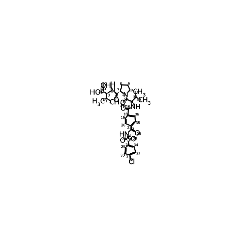 CC(C)[C@H](NC(=O)[C@@H]1CCCN1C(=O)[C@@H](NC(=O)c1ccc(C(=O)NS(=O)(=O)c2ccc(Cl)cc2)cc1)C(C)C)B(O)O